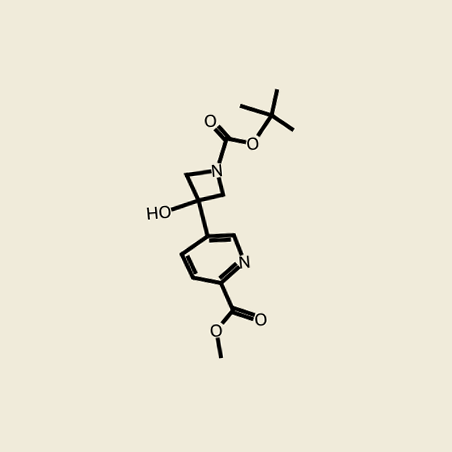 COC(=O)c1ccc(C2(O)CN(C(=O)OC(C)(C)C)C2)cn1